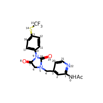 CC(=O)Nc1cc(CN2CC(=O)N(c3ccc(SC(F)(F)F)cc3)C2=O)ccn1